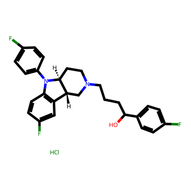 Cl.OC(CCCN1CC[C@H]2[C@H](C1)c1cc(F)ccc1N2c1ccc(F)cc1)c1ccc(F)cc1